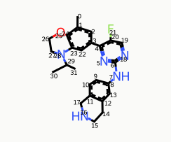 Cc1cc(-c2nc(Nc3ccc4c(c3)CCNC4)ncc2F)cc2c1OCCN2C(C)C